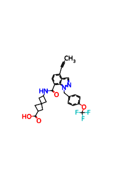 CC#Cc1ccc(C(=O)NC2CC3(C2)CC(C(=O)O)C3)c2c1cnn2Cc1ccc(OC(F)(F)F)cc1